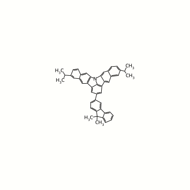 CC(C)c1ccc2cc3c(cc2c1)c1cc(-c2ccc4c(c2)-c2ccccc2C4(C)C)cc2c4cc5cc(C(C)C)ccc5cc4n3c12